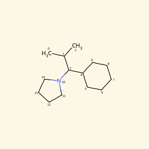 CC(C)C(C1CCCCC1)N1CCCC1